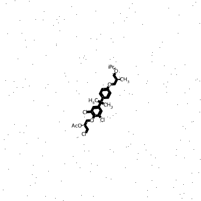 CC(=O)O[C@@H](CCl)COc1c(Cl)cc(C(C)(C)c2ccc(OC[C@H](C)COC(C)C)cc2)cc1Cl